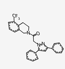 O=C(Cn1nc(-c2ccccc2)cc1-c1ccccc1)N1CCc2c(cccc2C(F)(F)F)C1